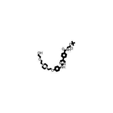 CC(C)(C)OC(=O)CNC(=O)c1ccc(-c2cnc(Nc3ccc(OCCN4CCN(CCOCCO)CC4)cc3)nc2)cc1